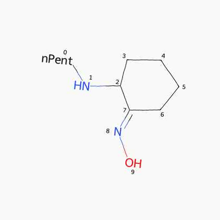 CCCCCNC1CCCC/C1=N\O